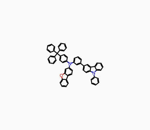 c1ccc(-n2c3ccccc3c3cc(-c4cccc(N(c5ccc(C(c6ccccc6)(c6ccccc6)c6ccccc6)cc5)c5ccc6c(c5)oc5ccccc56)c4)ccc32)cc1